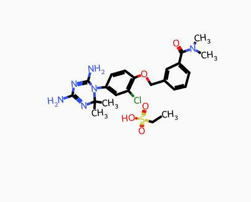 CCS(=O)(=O)O.CN(C)C(=O)c1cccc(COc2ccc(N3C(N)=NC(N)=NC3(C)C)cc2Cl)c1